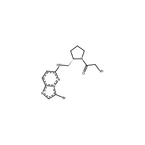 CC(C)CC(=O)N1CCC[C@H]1CNc1ccc2ncc(Br)n2n1